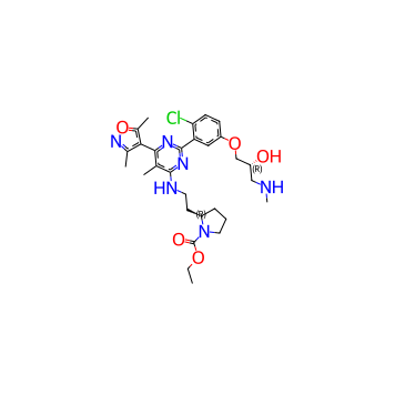 CCOC(=O)N1CCC[C@@H]1CCNc1nc(-c2cc(OC[C@H](O)CNC)ccc2Cl)nc(-c2c(C)noc2C)c1C